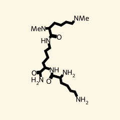 CNCCCCC(NC)C(=O)NCCCCC(NC(=O)C(N)CCCCN)C(N)=O